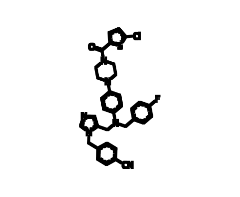 N#Cc1ccc(Cn2cncc2CN(Cc2ccc(F)cc2)c2ccc(N3CCN(C(=O)c4ccc(Cl)s4)CC3)cc2)cc1